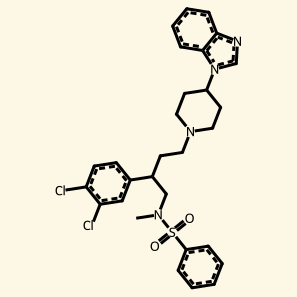 CN(CC(CCN1CCC(n2cnc3ccccc32)CC1)c1ccc(Cl)c(Cl)c1)S(=O)(=O)c1ccccc1